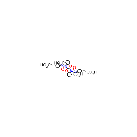 O=C(O)CCc1ccc(NC(=O)N(C(=O)C(=O)N(C(=O)Nc2ccc(CCC(=O)O)cc2)c2ccccc2C(=O)O)c2ccccc2C(=O)O)cc1